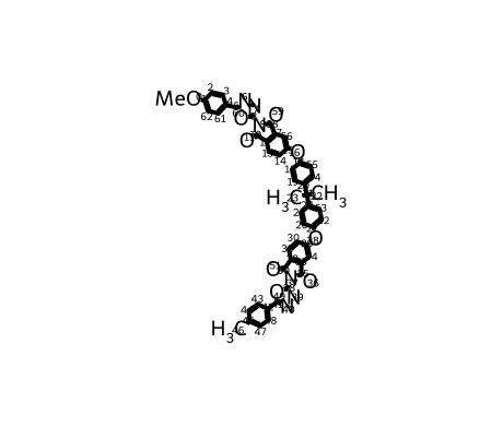 COc1ccc(-c2nnc(N3C(=O)c4ccc(Oc5ccc(C(C)(C)c6ccc(Oc7ccc8c(c7)C(=O)N(c7nnc(-c9ccc(C)cc9)o7)C8=O)cc6)cc5)cc4C3=O)o2)cc1